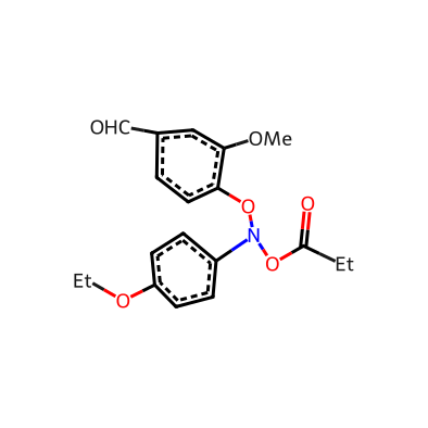 CCOc1ccc(N(OC(=O)CC)Oc2ccc(C=O)cc2OC)cc1